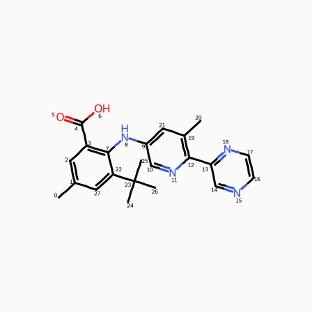 Cc1cc(C(=O)O)c(Nc2cnc(-c3cnccn3)c(C)c2)c(C(C)(C)C)c1